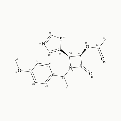 COc1ccc(C(C)N2C(=O)[C@H](OC(C)=O)[C@@H]2c2cncs2)cc1